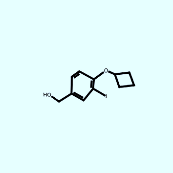 OCc1ccc(OC2CCC2)c(I)c1